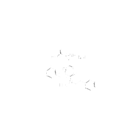 CN(CCc1ccccc1)C(=O)[C@H](Cc1ccccc1)NC(=O)[C@H]1N[C@@H]1C(=O)O.[NaH]